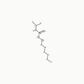 CCCCCCOOC(=O)OC(C)C